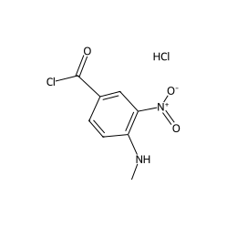 CNc1ccc(C(=O)Cl)cc1[N+](=O)[O-].Cl